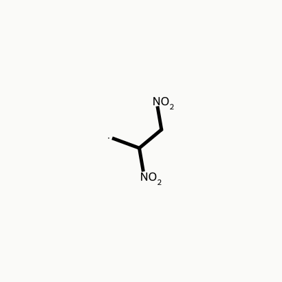 [CH2]C(C[N+](=O)[O-])[N+](=O)[O-]